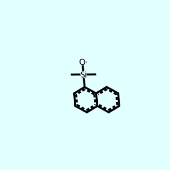 C[Si](C)([O])c1cccc2ccccc12